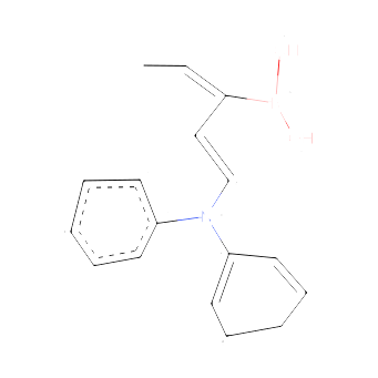 C/C=C(\C=C\N(C1=CCCC=C1)c1ccccc1)B(O)O